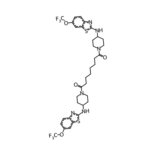 O=C(CCCCCCC(=O)N1CCC(Nc2nc3ccc(OC(F)(F)F)cc3s2)CC1)N1CCC(Nc2nc3ccc(OC(F)(F)F)cc3s2)CC1